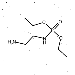 CCOP(=O)(NCCN)OCC